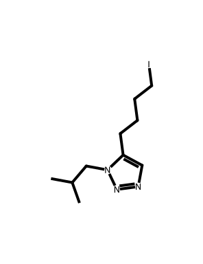 CC(C)Cn1nncc1CCCCI